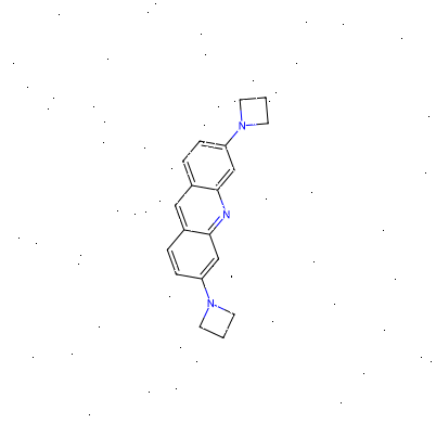 c1cc2cc3ccc(N4CCC4)cc3nc2cc1N1CCC1